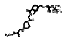 CCOC(=O)COC1CCN(C(=O)CN2Cc3cc(C=NNC(=O)OC(C)(C)C)ccc3C2=O)CC1